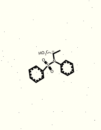 C[C@@H](C(=O)O)N(c1ccccc1)S(=O)(=O)c1ccccc1